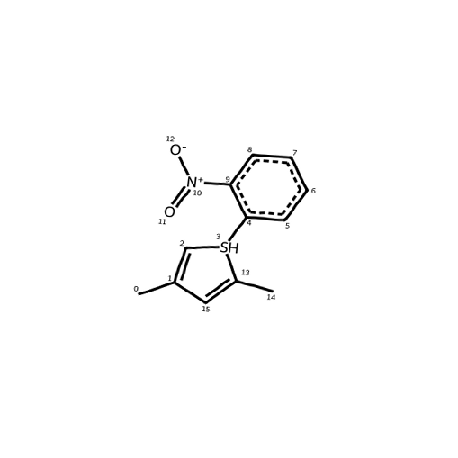 CC1=C[SH](c2ccccc2[N+](=O)[O-])C(C)=C1